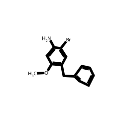 COc1cc(N)c(Br)cc1Cc1ccccc1